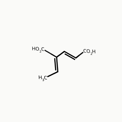 CC=C(C=CC(=O)O)C(=O)O